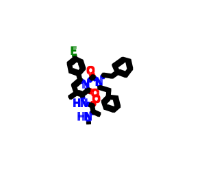 CNC(C)C(=O)Nc1c(C)cc(-c2ccc(F)cc2)n(C(=O)N(CCc2ccccc2)CCc2ccccc2)c1=O